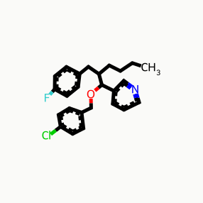 CCCCC(Cc1ccc(F)cc1)C(OCc1ccc(Cl)cc1)c1cccnc1